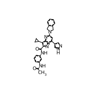 CC(=O)Nc1cccc(NC(=O)c2nn3c(-c4cn[nH]c4)cc(N4Cc5ccccc5C4)nc3c2C2CC2)c1